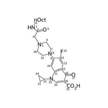 CCCCCCCCNC(=O)CN1CCN(c2cc3c(cc2F)c(=O)c(C(=O)O)cn3C2CC2)CC1